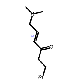 CC(C)CCC(=O)/C=C/CN(C)C